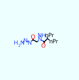 CCCC(CCC)C(=O)N(N)CC(=O)N=NN